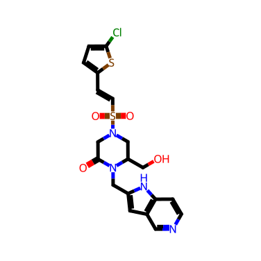 O=C1CN(S(=O)(=O)C=Cc2ccc(Cl)s2)CC(CO)N1Cc1cc2cnccc2[nH]1